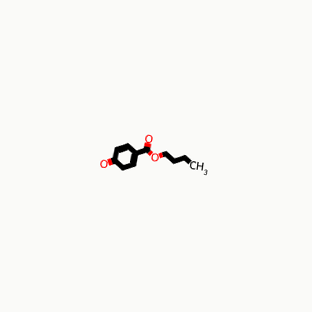 CCCCOC(=O)C1=CCC(=O)C=C1